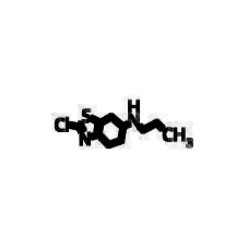 CCCNC1CCc2nc(Cl)sc2C1